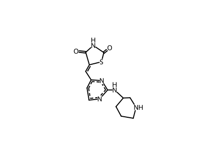 O=C1NC(=O)C(=Cc2ccnc(NC3CCCNC3)n2)S1